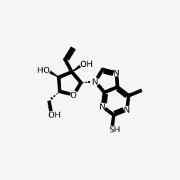 C=C[C@@]1(O)[C@H](O)[C@@H](CO)O[C@H]1n1cnc2c(C)nc(S)nc21